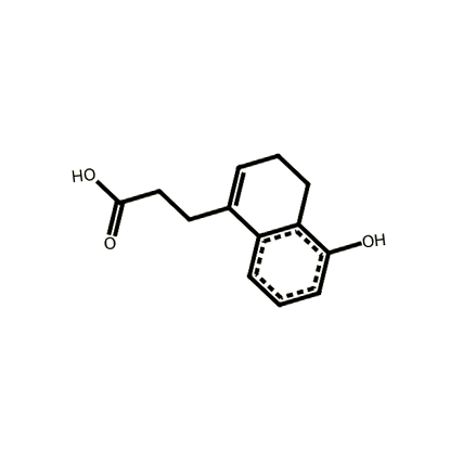 O=C(O)CCC1=CCCc2c(O)cccc21